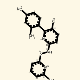 Cc1cc(C#N)ccc1-c1nc(NSc2cccc(N)n2)ccc1Cl